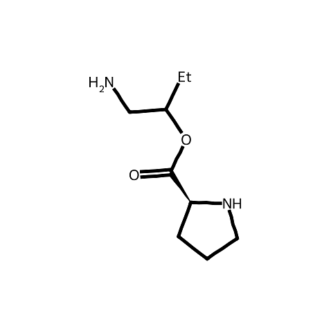 CCC(CN)OC(=O)[C@@H]1CCCN1